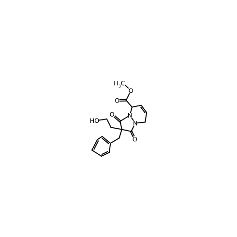 COC(=O)C1C=CCN2C(=O)C(CCO)(Cc3ccccc3)C(=O)N12